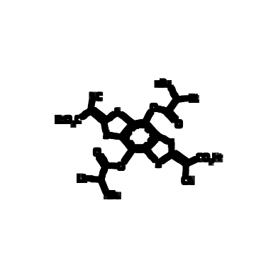 [C-]#[N+]C(C(=O)OCC)=C1Sc2c(OC(=O)C(CC)CCCC)c3c(c(OC(=O)C(CC)CCCC)c2S1)SC(=C(C#N)C(=O)OCC)S3